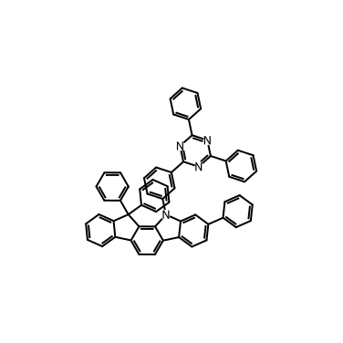 c1ccc(-c2ccc3c4ccc5c(c4n(-c4cccc(-c6nc(-c7ccccc7)nc(-c7ccccc7)n6)c4)c3c2)C(c2ccccc2)(c2ccccc2)c2ccccc2-5)cc1